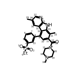 CCS(=O)(=O)c1cccc(-c2cc(C(=O)N3CCN(C)CC3)c(C)c3[nH]c4ncc(C)cc4c23)c1